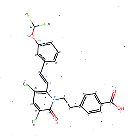 O=C(O)c1ccc(CCn2c(/C=C/c3cccc(OC(F)F)c3)c(Cl)cc(Cl)c2=O)cc1